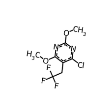 COc1nc(Cl)c(CC(F)(F)F)c(OC)n1